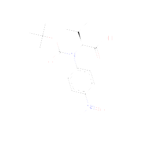 CC(C)[C@@H](C(=O)O)N(C(=O)OC(C)(C)C)c1ccc([N+](=O)[O-])cc1